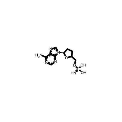 N=P(O)(O)OCC1CC[C@H](n2cnc3c(N)ncnc32)O1